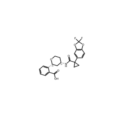 O=C(O)c1ccccc1[C@H]1C[C@@H](NC(=O)C2(c3ccc4c(c3)OC(F)(F)O4)CC2)CCO1